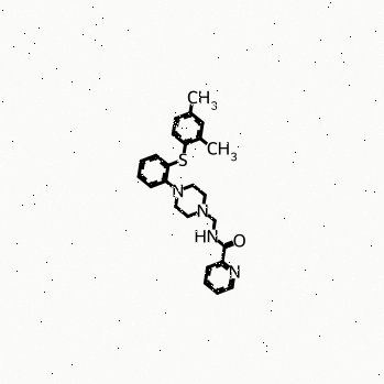 Cc1ccc(Sc2ccccc2N2CCN(CNC(=O)c3ccccn3)CC2)c(C)c1